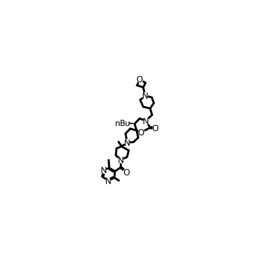 CCCC[C@H]1CN(CC2CCN(C3COC3)CC2)C(=O)OC12CCN(C1(C)CCN(C(=O)c3c(C)ncnc3C)CC1)CC2